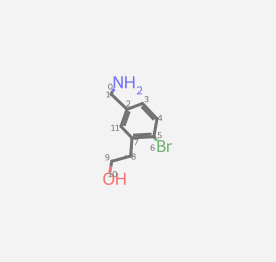 NCc1ccc(Br)c([CH]CO)c1